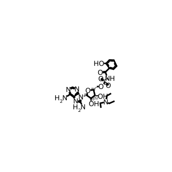 CCN(CC)CC.Nc1ncnc2c1nc(N)n2[C@@H]1O[C@H](COS(=O)(=O)NC(=O)c2ccccc2O)[C@@H](O)[C@H]1O